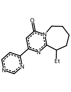 CCC1CCCCn2c1nc(-c1ccncn1)cc2=O